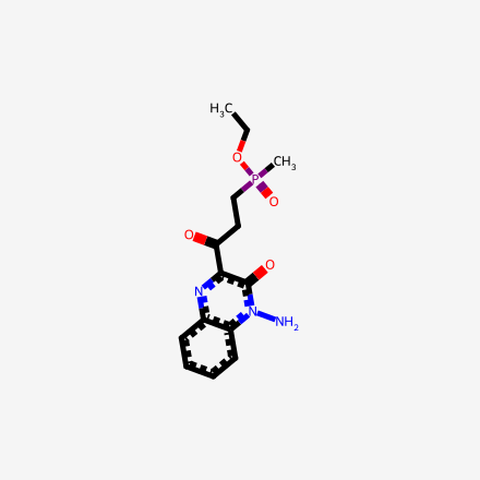 CCOP(C)(=O)CCC(=O)c1nc2ccccc2n(N)c1=O